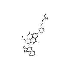 CCCCN(C(=O)Nc1c(C(C)C)cc(-c2cccc(OCCNCC)c2)cc1C(C)C)c1cc2cccnc2[nH]c1=O